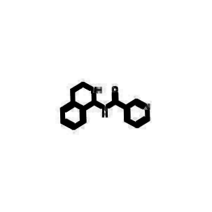 O=C(NC1NCCc2ccccc21)c1cccnc1